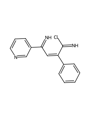 N=C(Cl)/C(=C\C(=N)c1cccnc1)c1ccccc1